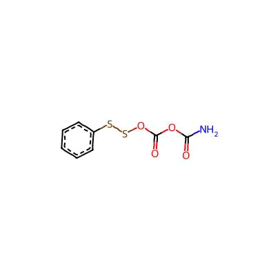 NC(=O)OC(=O)OSSc1ccccc1